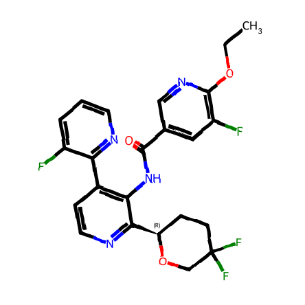 CCOc1ncc(C(=O)Nc2c(-c3ncccc3F)ccnc2[C@H]2CCC(F)(F)CO2)cc1F